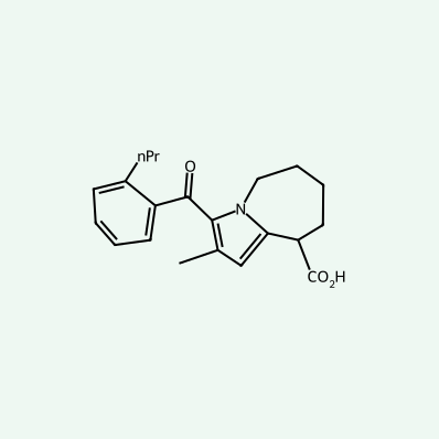 CCCc1ccccc1C(=O)c1c(C)cc2n1CCCCC2C(=O)O